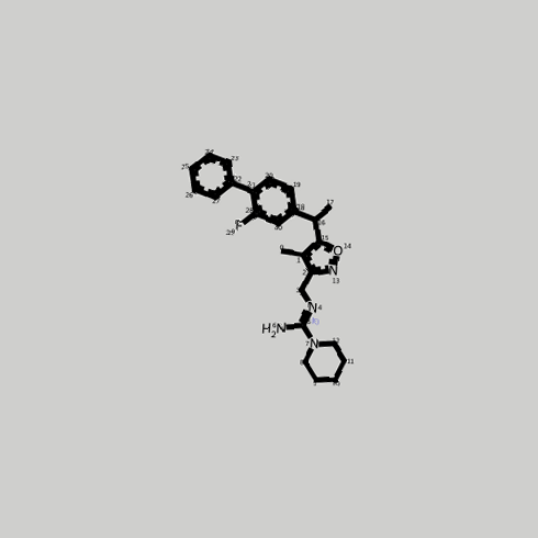 Cc1c(C/N=C(\N)N2CCCCC2)noc1C(C)c1ccc(-c2ccccc2)c(F)c1